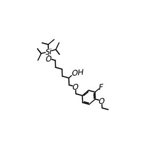 CCOc1ccc(COCC(O)CCCCO[Si](C(C)C)(C(C)C)C(C)C)cc1F